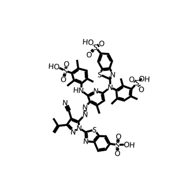 C=C(C)c1nn(-c2nc3ccc(S(=O)(=O)O)cc3s2)c(/N=N/c2c(C)cc(N(c3nc4ccc(S(=O)(=O)O)cc4s3)c3c(C)cc(C)c(S(=O)(=O)O)c3C)nc2Nc2c(C)cc(C)c(S(=O)(=O)O)c2C)c1C#N